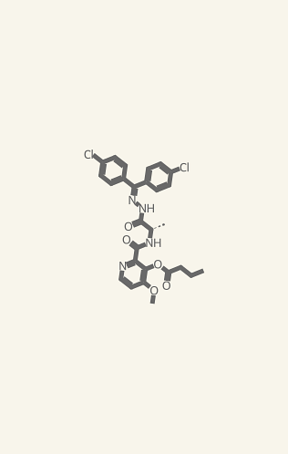 CCCC(=O)Oc1c(OC)ccnc1C(=O)N[C@@H](C)C(=O)NN=C(c1ccc(Cl)cc1)c1ccc(Cl)cc1